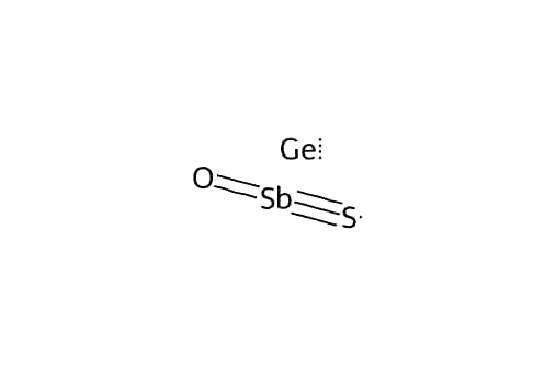 [Ge].[O]=[Sb]#[S]